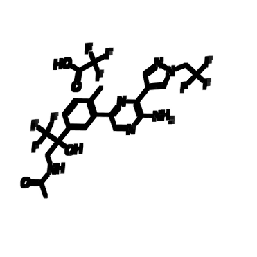 CC(=O)NCC(O)(c1ccc(C)c(-c2cnc(N)c(-c3cnn(CC(F)(F)F)c3)n2)c1)C(F)(F)F.O=C(O)C(F)(F)F